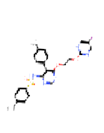 Cc1ccc(-c2c(NS(=O)(=O)c3ccc(C(C)(C)C)cc3)ncnc2OCCOc2ncc(I)cn2)cc1